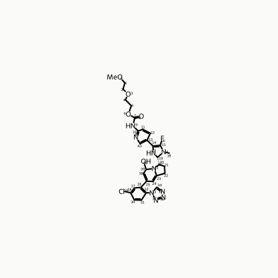 COCCOCCOC(=O)Nc1ccc(C2=C(F)N(C)C([C@@H]3CCC4=CC(c5cc(Cl)ccc5-n5cnnn5)=CC(O)N43)N2)cn1